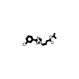 CC(C)OC(=O)C/C=C\n1cnc(-c2cccc(Cl)c2)n1